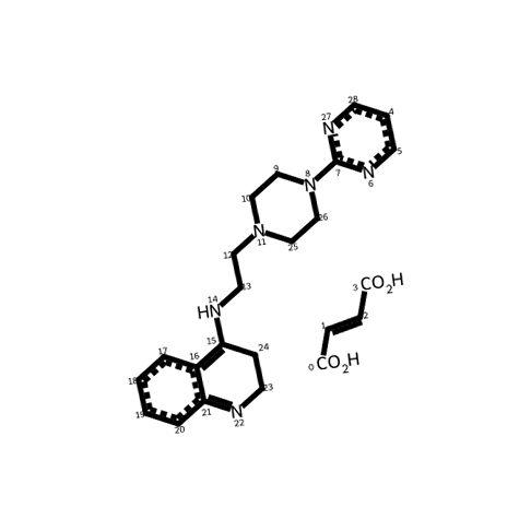 O=C(O)C=CC(=O)O.c1cnc(N2CCN(CCNC3=c4ccccc4=NCC3)CC2)nc1